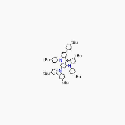 CC(C)(C)c1ccc(-c2ccc3c(c2)B2c4cc(C(C)(C)C)ccc4N(c4ccc(C(C)(C)C)cc4)c4cc(-n5c6ccc(C(C)(C)C)cc6c6cc(C(C)(C)C)ccc65)cc(c42)N3c2ccc(C(C)(C)C)cc2)cc1